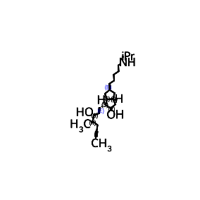 CC#CC[C@@H](C)[C@H](O)/C=C/[C@@H]1[C@H]2C/C(=C/CCCCNC(C)C)C[C@H]2C[C@H]1O